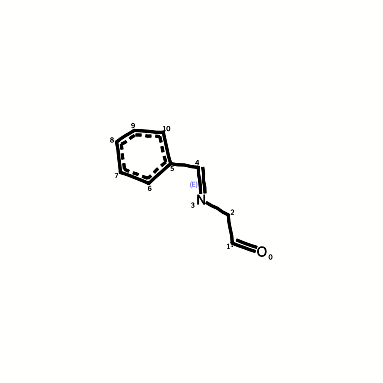 O=[C]C/N=C/c1ccccc1